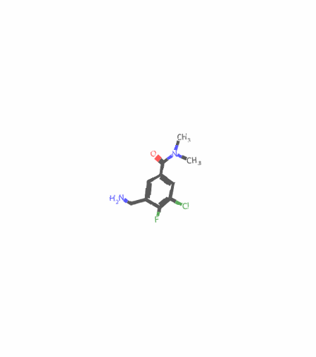 CN(C)C(=O)c1cc(Cl)c(F)c(CN)c1